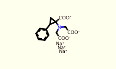 O=C([O-])CN(CC(=O)[O-])C1(C(=O)[O-])CC1c1ccccc1.[Na+].[Na+].[Na+]